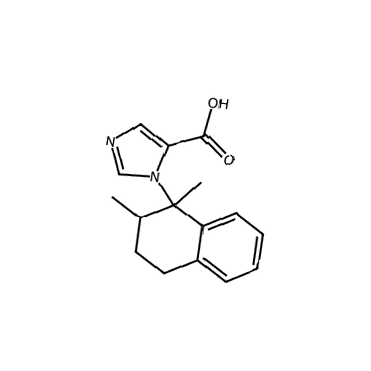 CC1CCc2ccccc2C1(C)n1cncc1C(=O)O